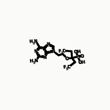 Nc1nc(N)c2ncn(CCOC(CC(F)(F)F)(CC(F)(F)F)P(=O)(O)O)c2n1